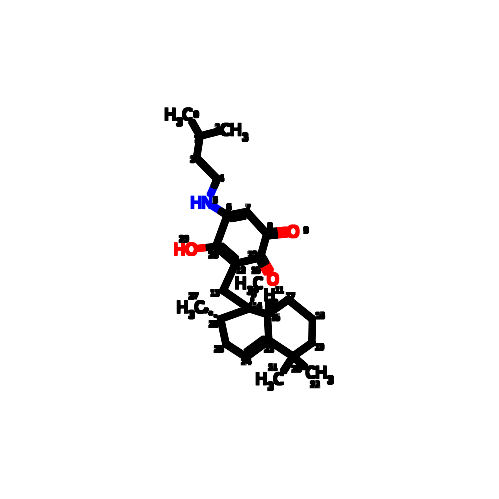 CC(C)CCNC1=CC(=O)C(=O)C(C[C@@]2(C)[C@@H]3CCCC(C)(C)C3=CC[C@@H]2C)=C1O